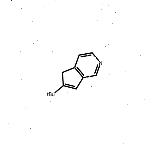 CC(C)(C)C1=Cc2cnccc2C1